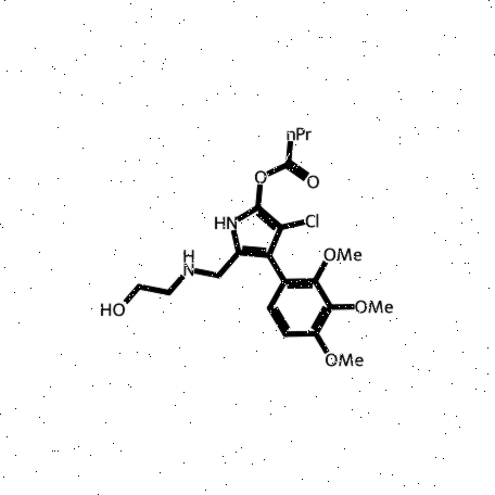 CCCC(=O)Oc1[nH]c(CNCCO)c(-c2ccc(OC)c(OC)c2OC)c1Cl